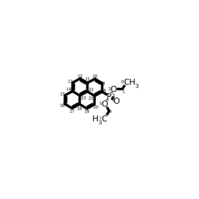 CCOP(=O)(OCC)c1ccc2ccc3cccc4ccc1c2c34